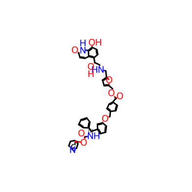 O=C(N[C@@H](c1ccccc1)c1cccc(OCc2ccc(C(=O)OCc3ccc(CNCC(O)c4ccc(O)c5[nH]c(=O)ccc45)o3)cc2)c1)OC1CN2CCC1CC2